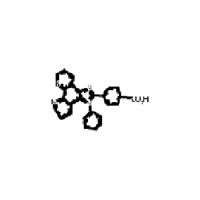 O=C(O)c1ccc(-c2nc3c4cccnc4c4ncccc4c3n2-c2ccccc2)cc1